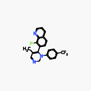 CC1=C(c2ccc3cccnc3c2F)N(c2ccc(C(F)(F)F)cc2)CN=C1